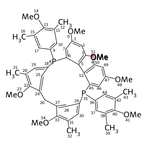 COc1cc(OC)c2c(c1)P(c1cc(C)c(OC)c(C)c1)c1cc(C)c(OC)c(c1)Cc1cc(cc(C)c1OC)P(c1cc(C)c(OC)c(C)c1)c1cc(OC)cc(OC)c1-2